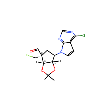 CC1(C)O[C@H]2C(n3ccc4c(Cl)ncnc43)C[C@@](C=O)(CF)[C@H]2O1